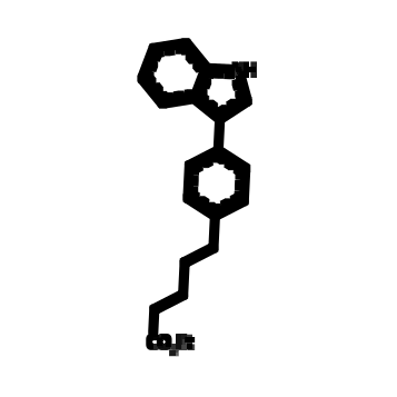 CCOC(=O)CCCCc1ccc(-c2c[nH]c3ccccc23)cc1